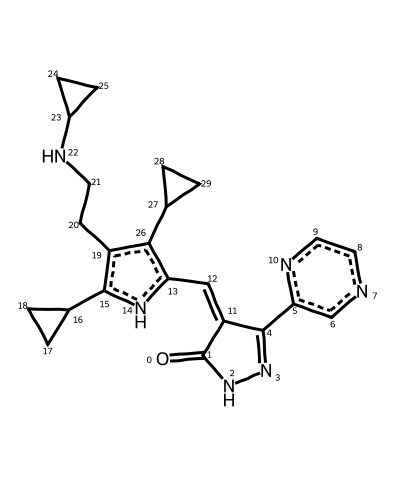 O=C1NN=C(c2cnccn2)C1=Cc1[nH]c(C2CC2)c(CCNC2CC2)c1C1CC1